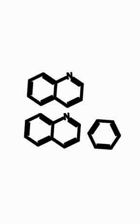 c1ccc2ncccc2c1.c1ccc2ncccc2c1.c1ccccc1